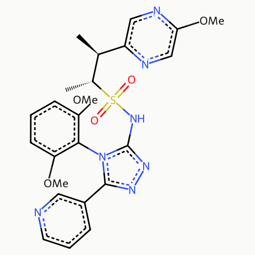 COc1cnc([C@H](C)[C@@H](C)S(=O)(=O)Nc2nnc(-c3cccnc3)n2-c2c(OC)cccc2OC)cn1